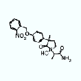 CC(C(N)=O)[N@+]1(O)CCC(C)(c2ccc(OCc3ccccc3[N+](=O)[O-])cc2)C1=O